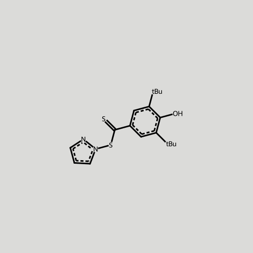 CC(C)(C)c1cc(C(=S)Sn2cccn2)cc(C(C)(C)C)c1O